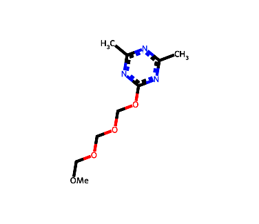 COCOCOCOc1nc(C)nc(C)n1